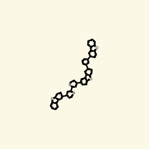 c1cc(-c2ccc3oc4ccccc4c3c2)cc(-c2ccc3oc4ccc(-c5ccnc(-c6cc(-c7ccc8oc9ccccc9c8c7)ccn6)c5)cc4c3c2)c1